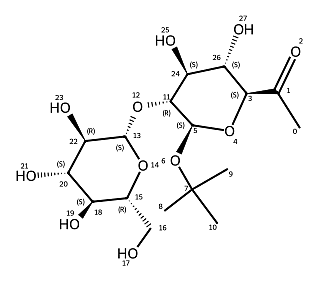 CC(=O)[C@H]1O[C@@H](OC(C)(C)C)[C@H](O[C@@H]2O[C@H](CO)[C@@H](O)[C@H](O)[C@H]2O)[C@@H](O)[C@@H]1O